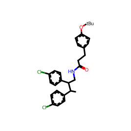 CC(c1ccc(Cl)cc1)C(CNC(=O)CCc1ccc(OC(C)(C)C)cc1)c1ccc(Cl)cc1